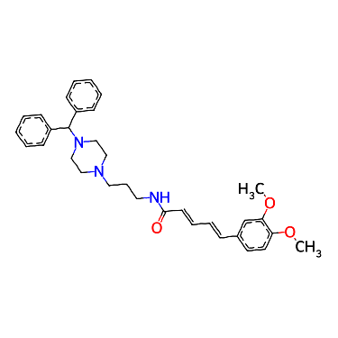 COc1ccc(C=CC=CC(=O)NCCCN2CCN(C(c3ccccc3)c3ccccc3)CC2)cc1OC